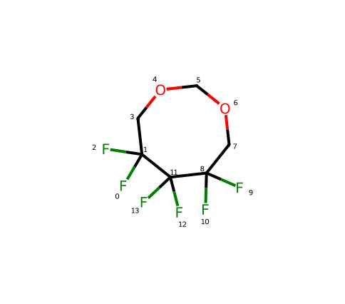 FC1(F)COCOCC(F)(F)C1(F)F